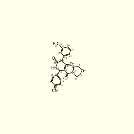 CCC1=C(C(=O)N2CCOCC2)C(c2ccc(C#N)cc2)NC(=O)N1c1cccc(C(F)(F)F)c1